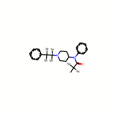 [2H]C([2H])(C)C(=O)N(c1ccccc1)C1CCN(C([2H])([2H])C([2H])([2H])c2ccccc2)CC1